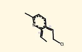 C/C=c1/nc(C)cc/c1=C/CCl